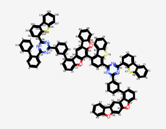 c1ccc(-c2ccccc2-c2nc(-c3cccc(-c4cccc5oc6c(-c7ccc(-c8nc(-c9cccc(-c%10cccc%11oc%12cc%13oc%14ccccc%14c%13cc%12c%10%11)c9)nc(-c9cccc%10c9sc9ccccc9%10)n8)c8sc9ccccc9c78)c7oc8ccccc8c7cc6c45)c3)nc(-c3cccc4c3sc3ccccc34)n2)cc1